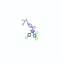 C=CCC(CC)C(C)CCN1CCN(C(=O)c2nn(-c3ccc(Cl)cc3Cl)c(-c3ccc(Cl)cc3)c2C)CC1